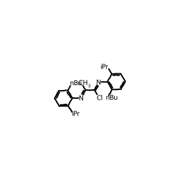 CCCCc1cccc(C(C)C)c1N=C(C)C(Cl)=Nc1c(CCCC)cccc1C(C)C